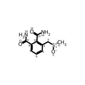 C[S+]([O-])Cc1cccc(C(N)=O)c1C(N)=O